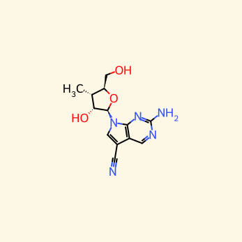 C[C@H]1[C@@H](O)[C@H](n2cc(C#N)c3cnc(N)nc32)O[C@@H]1CO